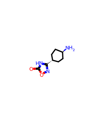 N[C@H]1CC[C@H](c2noc(=O)[nH]2)CC1